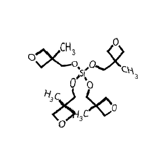 CC1(CO[Si](OCC2(C)COC2)(OCC2(C)COC2)OCC2(C)COC2)COC1